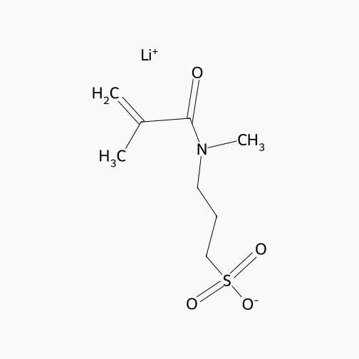 C=C(C)C(=O)N(C)CCCS(=O)(=O)[O-].[Li+]